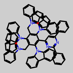 c1ccc(-c2cc(-c3c(-n4c5ccccc5c5ccccc54)c(Cn4c5ccccc5c5ccccc54)c(-n4c5ccccc5c5ccccc54)c(Cn4c5ccccc5c5ccccc54)c3-n3c4ccccc4c4ccccc43)nc(-c3ccccc3)n2)cc1